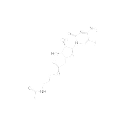 CC(=O)NCCCOC(=O)C[C@H]1O[C@@H](n2cc(I)c(N)nc2=O)[C@H](O)[C@@H]1O